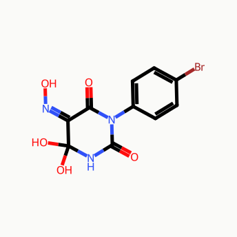 O=C1NC(O)(O)C(=NO)C(=O)N1c1ccc(Br)cc1